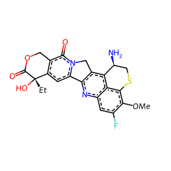 CC[C@@]1(O)C(=O)OCc2c1cc1n(c2=O)Cc2c-1nc1cc(F)c(OC)c3c1c2[C@@H](N)CS3